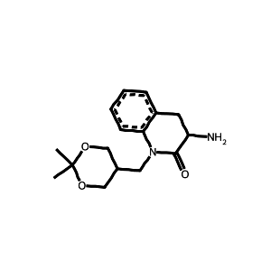 CC1(C)OCC(CN2C(=O)C(N)Cc3ccccc32)CO1